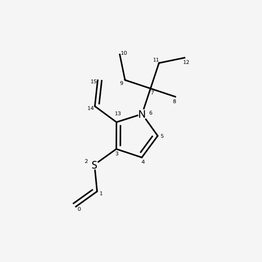 C=CSc1ccn(C(C)(CC)CC)c1C=C